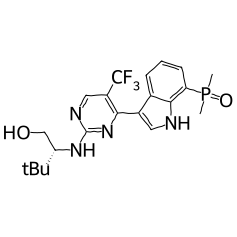 CC(C)(C)[C@H](CO)Nc1ncc(C(F)(F)F)c(-c2c[nH]c3c(P(C)(C)=O)cccc23)n1